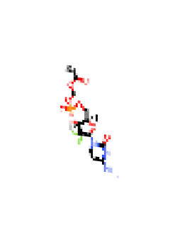 CC(C)(C)C(=O)OCOP1(=O)OC[C@H]2O[C@@H](n3ccc(N)nc3=O)C(F)(F)[C@@H]2O1